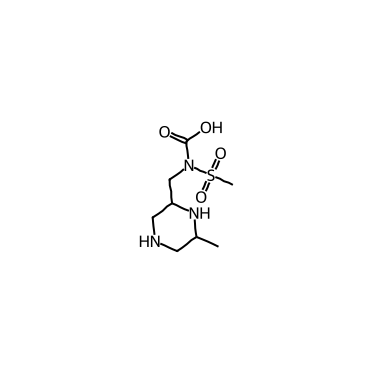 CC1CNCC(CN(C(=O)O)S(C)(=O)=O)N1